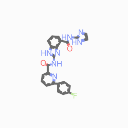 O=C(Nc1nc2c(C(=O)Nc3ncc[nH]3)cccc2[nH]1)c1cccc(-c2ccc(F)cc2)n1